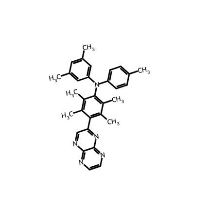 Cc1ccc(N(c2cc(C)cc(C)c2)c2c(C)c(C)c(-c3cnc4nccnc4n3)c(C)c2C)cc1